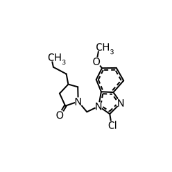 CCCC1CC(=O)N(Cn2c(Cl)nc3ccc(OC)cc32)C1